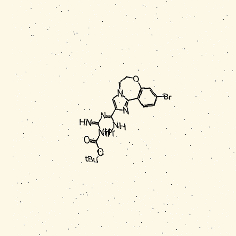 CC(C)N/C(=N\C(=N)NC(=O)OC(C)(C)C)c1cn2c(n1)-c1ccc(Br)cc1OCC2